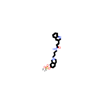 O=C(C=Cc1cnc2ccccc2c1)NCCCCN1CCc2ccc(OS(=O)(=O)C(F)(F)F)cc2C1